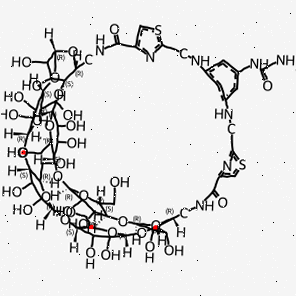 NC(=O)Nc1cc2cc(c1)NCc1nc(cs1)C(=O)NC[C@H]1O[C@@H]3O[C@H]4C(O)C(O)[C@H](O[C@@H]4CO)O[C@H]4C(O)C(O)[C@H](O[C@@H]4CO)O[C@H]4C(O)C(O)[C@H](O[C@@H]4CO)O[C@H]4C(O)C(O)[C@H](O[C@@H]4CNC(=O)c4csc(n4)CN2)O[C@H]2C(O)C(O)[C@H](O[C@@H]2CO)O[C@H]2C(O)C(O)[C@H](O[C@@H]2CO)O[C@H]1C(O)C3O